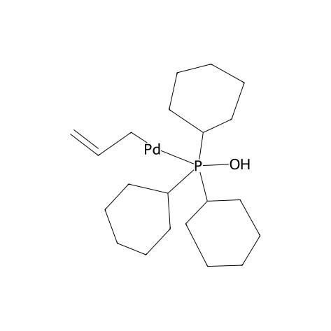 C=C[CH2][Pd][P](O)(C1CCCCC1)(C1CCCCC1)C1CCCCC1